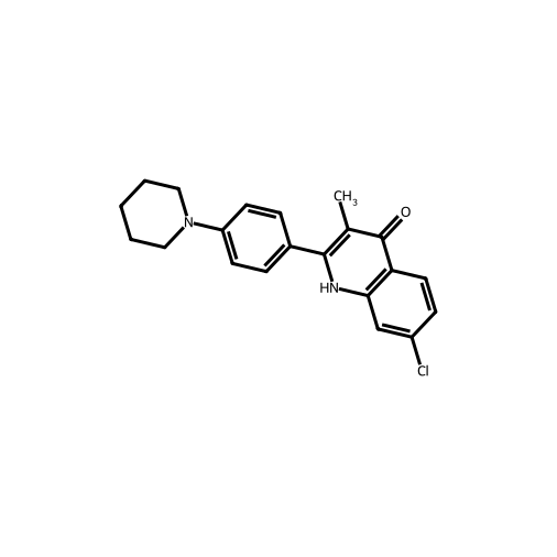 Cc1c(-c2ccc(N3CCCCC3)cc2)[nH]c2cc(Cl)ccc2c1=O